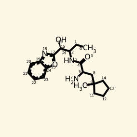 CCC(NC(=O)C(N)CC1(C)CCCC1)[C@H](O)c1nc2ccccc2o1